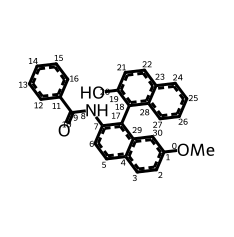 COc1ccc2ccc(NC(=O)c3ccccc3)c(-c3c(O)ccc4ccccc34)c2c1